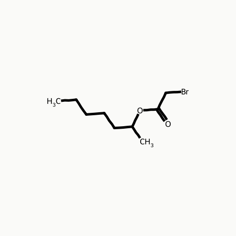 CCCCCC(C)OC(=O)CBr